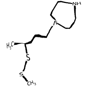 CSS[C@@H](C)CCN1CCNCC1